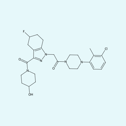 Cc1c(Cl)cccc1N1CCN(C(=O)Cn2nc(C(=O)N3CCC(O)CC3)c3c2CCC(F)C3)CC1